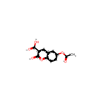 CC(=O)Oc1ccc2oc(=O)c(C(=O)O)cc2c1